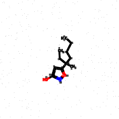 CCCCC(C)(CC)c1cc(O)no1